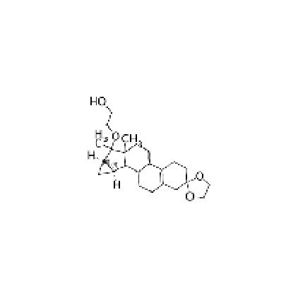 CC12CCC3C4=C(CCC3C1[C@H]1C[C@H]1C2(C)OCCO)CC1(CC4)OCCO1